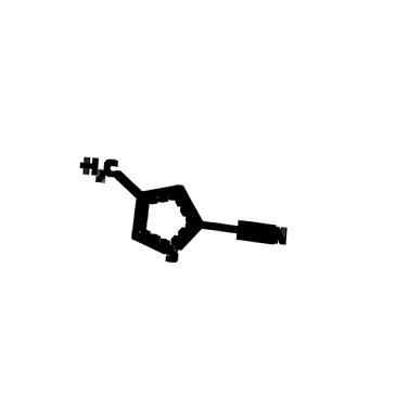 [CH2]c1csc(C#N)c1